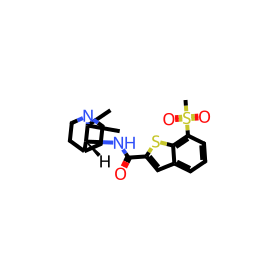 CC1(C)[C@H](NC(=O)c2cc3cccc(S(C)(=O)=O)c3s2)C2CCN1CC2